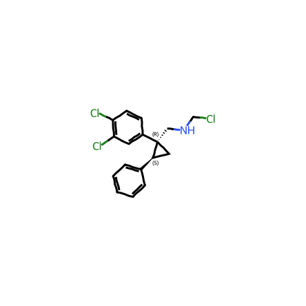 ClCNC[C@]1(c2ccc(Cl)c(Cl)c2)C[C@H]1c1ccccc1